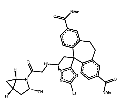 CCc1nnc(C2(C[C@@H](C)NCC(=O)N3[C@H](C#N)C[C@@H]4C[C@@H]43)c3ccc(C(=O)NC)cc3CCc3cc(C(=O)NC)ccc32)o1